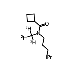 [2H]C([2H])([2H])N(CCCC(C)C)C(=O)C1CCC1